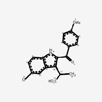 COc1ccc(C(=O)c2[nH]c3ccc(Cl)cc3c2C(C)C(=O)O)cc1